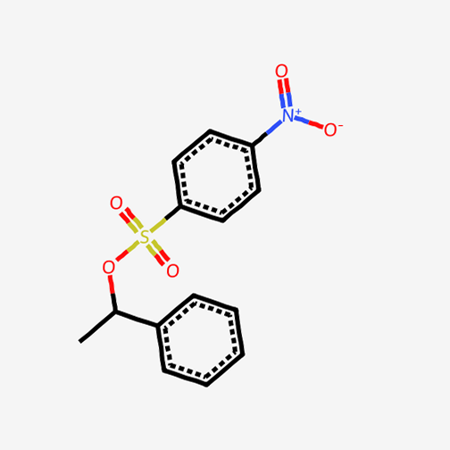 CC(OS(=O)(=O)c1ccc([N+](=O)[O-])cc1)c1ccccc1